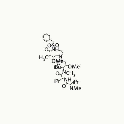 CC[C@H](C)[C@@H]([C@@H](CC(=O)N1CCC[C@H]1[C@H](OC)[C@@H](C)C(=O)NS(=O)(=O)Cc1ccccc1)OC)N(C)C(=O)[C@@H](NC(=O)[C@@H](NC)C(C)C)C(C)C